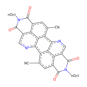 CCCCCCCCN1C(=O)c2cnc3c4c(C#N)cc5c6c(cnc(c7c(C#N)cc(c2c37)C1=O)c64)C(=O)N(CCCCCCCC)C5=O